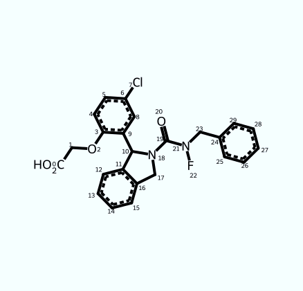 O=C(O)COc1ccc(Cl)cc1C1c2ccccc2CN1C(=O)N(F)Cc1ccccc1